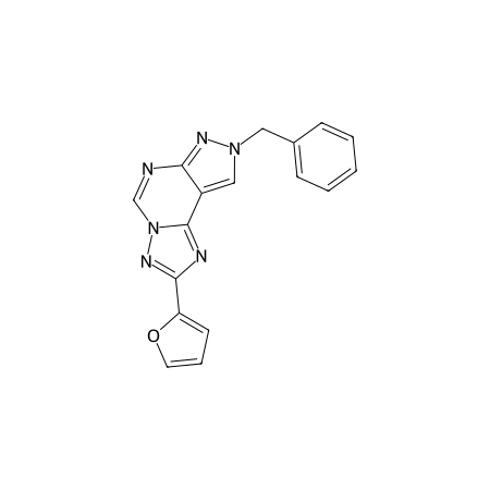 c1ccc(Cn2cc3c(ncn4nc(-c5ccco5)nc34)n2)cc1